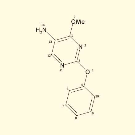 COc1nc(Oc2ccccc2)ncc1N